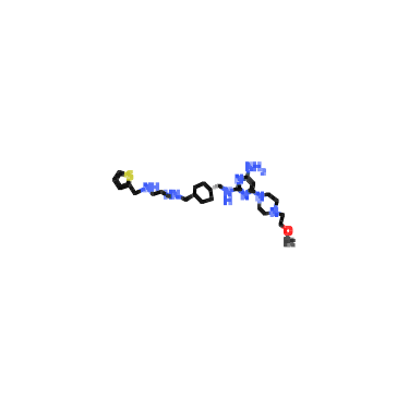 CCOCCN1CCN(c2cc(N)nc(NC[C@H]3CC[C@H](CNCCCNCc4cccs4)CC3)n2)CC1